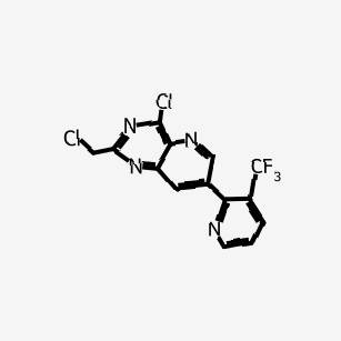 FC(F)(F)c1cccnc1-c1cnc2c(Cl)nc(CCl)nc2c1